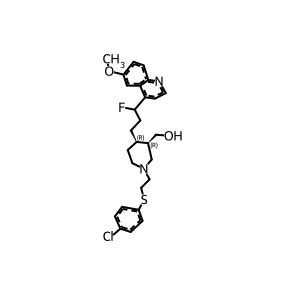 COc1ccc2nccc(C(F)CC[C@@H]3CCN(CCSc4ccc(Cl)cc4)C[C@@H]3CO)c2c1